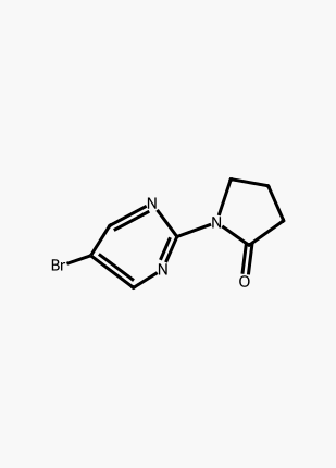 O=C1CCCN1c1ncc(Br)cn1